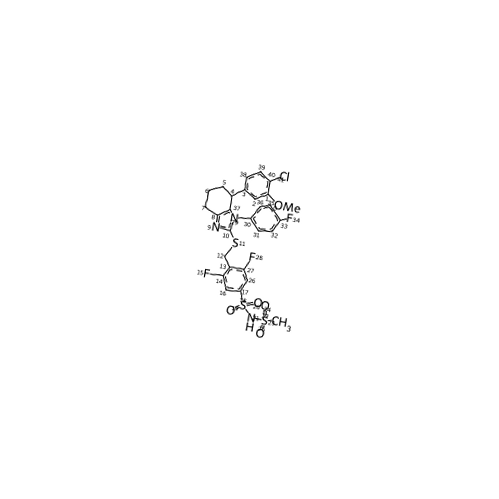 COc1cc(C2CCCc3nc(SCc4c(F)cc(S(=O)(=O)NS(C)(=O)=O)cc4F)n(-c4ccc(F)cc4)c32)ccc1Cl